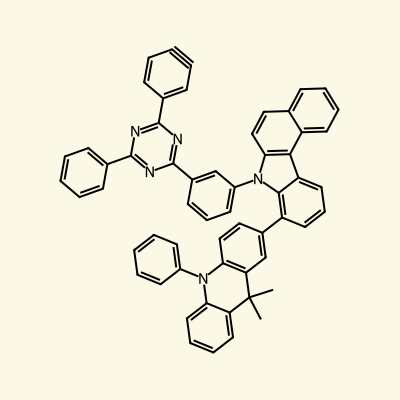 CC1(C)c2ccccc2N(c2ccccc2)c2ccc(-c3cccc4c5c6ccccc6ccc5n(-c5cccc(-c6nc(-c7cc#ccc7)nc(-c7ccccc7)n6)c5)c34)cc21